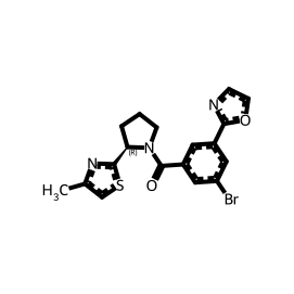 Cc1csc([C@H]2CCCN2C(=O)c2cc(Br)cc(-c3ncco3)c2)n1